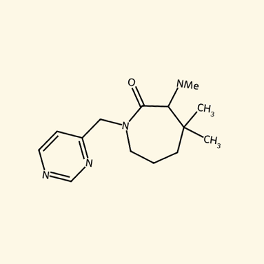 CNC1C(=O)N(Cc2ccncn2)CCCC1(C)C